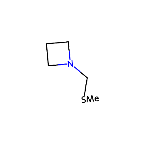 CSCN1CCC1